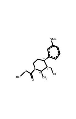 CSc1cccc([C@@H]2CCN(C(=O)OC(C)(C)C)[C@H](C)[C@H]2CO)c1